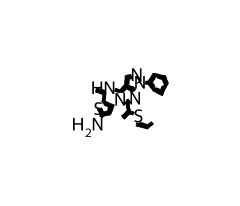 C=C(S/C=C\C)c1nc(NC(=C)c2ccc(N)s2)c2cnn(-c3ccccc3)c2n1